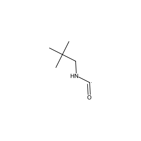 CC(C)(C)CN[C]=O